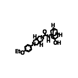 CCOc1ccc(N2C[C@H]3CN(C(=O)NC45C[C@@H]6C[C@@H](CC(O)(C6)C4)C5)C[C@H]3C2)cc1